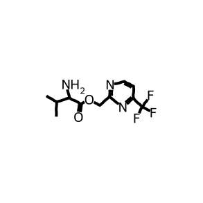 CC(C)C(N)C(=O)OCc1nccc(C(F)(F)F)n1